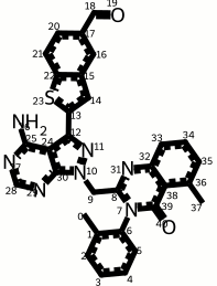 Cc1ccccc1-n1c(Cn2nc(-c3cc4cc(C=O)ccc4s3)c3c(N)ncnc32)nc2cccc(C)c2c1=O